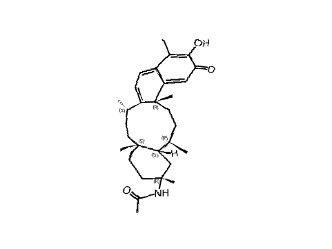 CC(=O)N[C@]1(C)CC[C@]2(C)CC[C@H](C)C3=CC=C4C(=CC(=O)C(O)=C4C)[C@]3(C)CC[C@@H](C)[C@@H]2C1